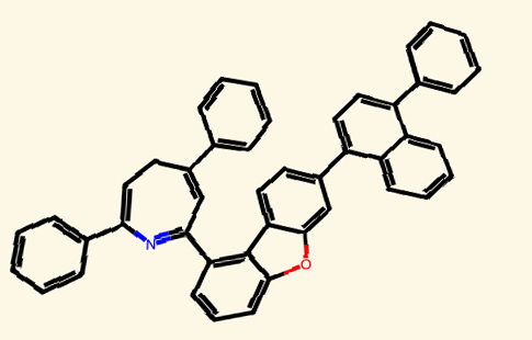 C1=C(c2ccccc2)CC=C(c2ccccc2)N=C1c1cccc2oc3cc(-c4ccc(-c5ccccc5)c5ccccc45)ccc3c12